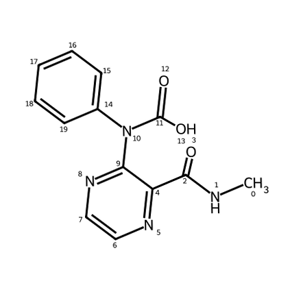 CNC(=O)c1nccnc1N(C(=O)O)c1ccccc1